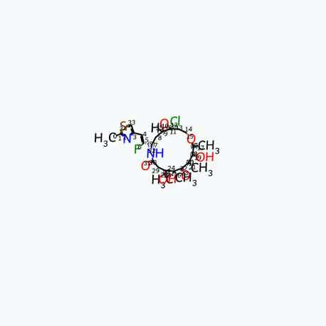 Cc1nc(C=C(F)[C@@H]2C[C@@H]3O[C@]3(Cl)CCO[C@@H](C)[C@@H](O)[C@@H](C)C(=O)C(C)(C)[C@@H](O)CC(=O)N2)cs1